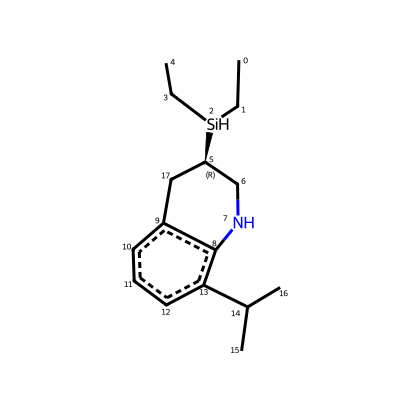 CC[SiH](CC)[C@H]1CNc2c(cccc2C(C)C)C1